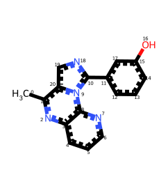 Cc1nc2cccnc2n2c(-c3cccc(O)c3)ncc12